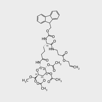 C=CCOC(=O)CCNC(=O)[C@H](CCCC(=O)N[C@H]1O[C@H](C(=O)OC)[C@@H](OC(C)=O)[C@H](OC(C)=O)[C@H]1OC(C)=O)NC(=O)OCC1c2ccccc2-c2ccccc21